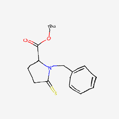 CC(C)(C)OC(=O)C1CCC(=S)N1Cc1ccccc1